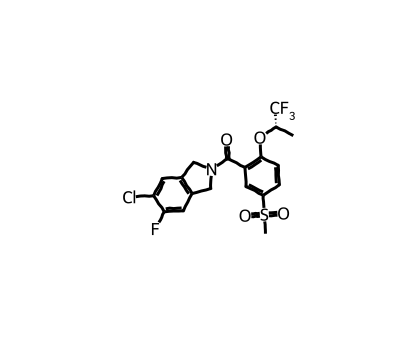 C[C@H](Oc1ccc(S(C)(=O)=O)cc1C(=O)N1Cc2cc(F)c(Cl)cc2C1)C(F)(F)F